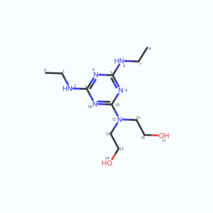 CCNc1nc(NCC)nc(N(CCO)CCO)n1